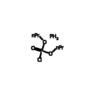 CCCOP(=O)(Cl)OCCC.P